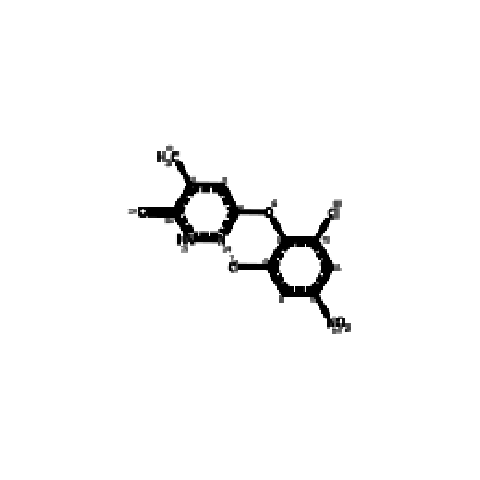 Cc1cc(Oc2c(Cl)cc([N+](=O)[O-])cc2Cl)n[nH]c1=O